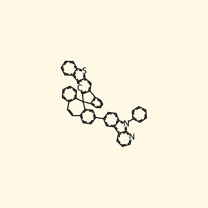 C1=Cc2ccc(-c3ccc4c(c3)c3cccnc3n4-c3ccccc3)cc2C2(c3ccccc31)c1ccccc1-c1cc3sc4ccccc4c3cc12